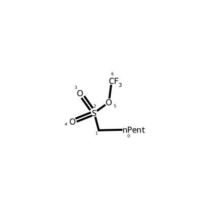 CCCCCCS(=O)(=O)OC(F)(F)F